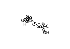 O=C(CCCSc1cccc2c1C(=O)N(C1CCC(=O)NC1=O)C2=O)NCCOc1ccc(C(=C(CCCl)c2ccccc2)c2ccc(O)cc2)cc1